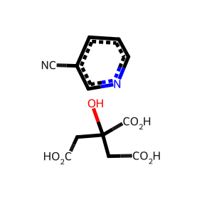 N#Cc1cccnc1.O=C(O)CC(O)(CC(=O)O)C(=O)O